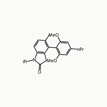 CCCc1cc(OC)c(-c2c(C)ccc3c2CC(=O)N3C(C)C)c(OC)c1